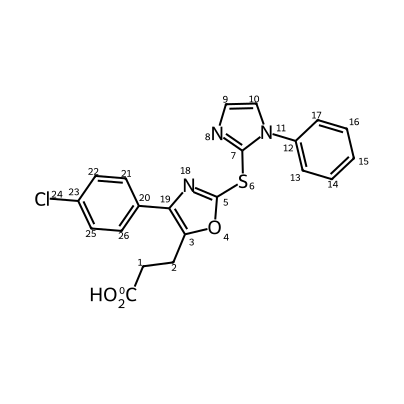 O=C(O)CCc1oc(Sc2nccn2-c2ccccc2)nc1-c1ccc(Cl)cc1